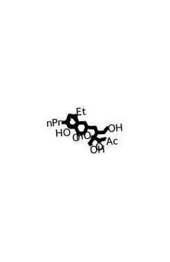 CCCc1cc(CC)c2c(c1O)C(=O)CC(CC(CCO)C(O)(CO)C(=O)CC(C)=O)C2